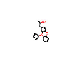 C=C(O)Cc1ccc(Oc2ccccc2)c(Oc2ccccc2)c1